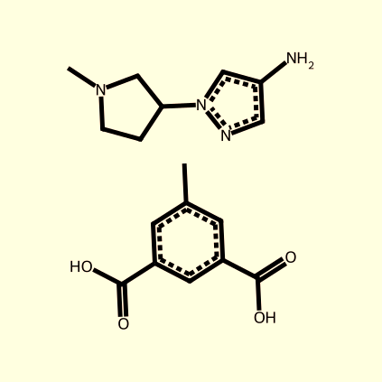 CN1CCC(n2cc(N)cn2)C1.Cc1cc(C(=O)O)cc(C(=O)O)c1